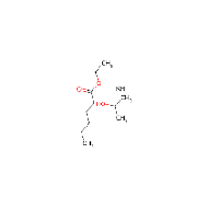 CC(C)O.CCCCCC(=O)OCC.[KH]